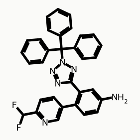 Nc1ccc(-c2ccc(C(F)F)nc2)c(-c2nnn(C(c3ccccc3)(c3ccccc3)c3ccccc3)n2)c1